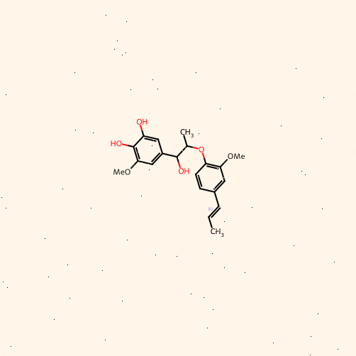 C/C=C/c1ccc(OC(C)C(O)c2cc(O)c(O)c(OC)c2)c(OC)c1